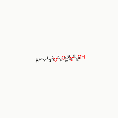 CC(C)CCCCCOCCOCCOCCO